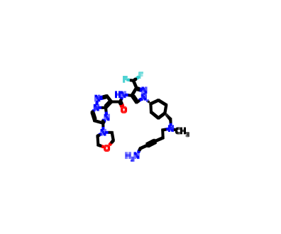 CN(CCC#CCN)C[C@H]1CC[C@H](n2cc(NC(=O)c3cnn4ccc(N5CCOCC5)nc34)c(C(F)F)n2)CC1